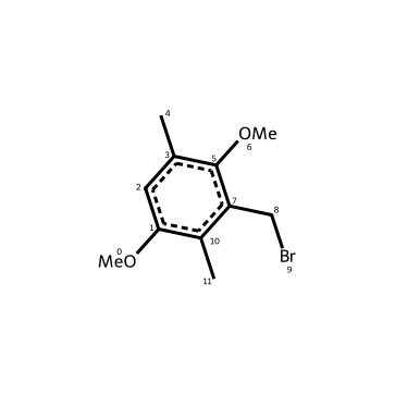 COc1cc(C)c(OC)c(CBr)c1C